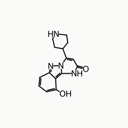 O=c1cc(C2CCNCC2)n2nc3cccc(O)c3c2[nH]1